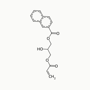 C=CC(=O)OCC(O)COC(=O)c1ccc2ccccc2c1